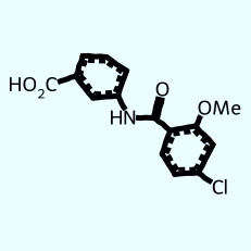 COc1cc(Cl)ccc1C(=O)Nc1cccc(C(=O)O)c1